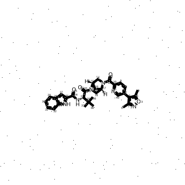 Cc1noc(C)c1-c1ccc(C(=O)N2C[C@@H]3C[C@H]2CN3C(=O)[C@@H](NC(=O)c2cc3ccccc3[nH]2)C(C)(C)C)nc1